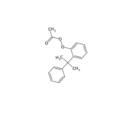 CC(=O)OOc1ccccc1C(C)(C)c1ccccc1